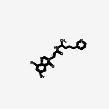 CC(CCCc1cccnc1)NC(=O)/C=C/n1cnc2c(C(C)C)cc(C(C)C)cc2c1=O